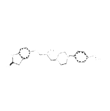 COc1ccc(N2CCN(C[C@H](O)COc3ccc4c(c3)CC(=O)N4)CC2)cc1